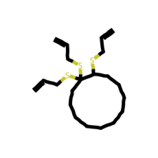 C=CCSC1CCCCCCCCCCC1(SCC=C)SCC=C